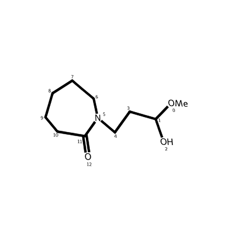 COC(O)CCN1CCCCCC1=O